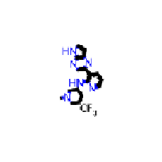 CN1C[C@H](Nc2ncccc2-c2cnc3[nH]ccc3n2)C[C@H](C(F)(F)F)C1